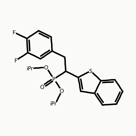 CC(C)OP(=O)(OC(C)C)C(Cc1ccc(F)c(F)c1)c1cc2ccccc2s1